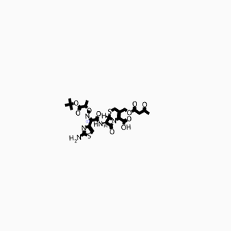 CC(=O)CC(=O)OCC1=C(C(=O)O)N2C(=O)[C@@H](NC(=O)/C(=N\OC(C)C(=O)OC(C)(C)C)c3csc(N)n3)[C@@H]2SC1